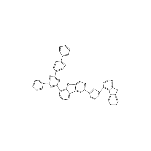 c1ccc(-c2ccc(-c3nc(-c4ccccc4)nc(-c4cccc5c4oc4ccc(-c6cccc(-c7cccc8sc9ccccc9c78)c6)cc45)n3)cc2)cc1